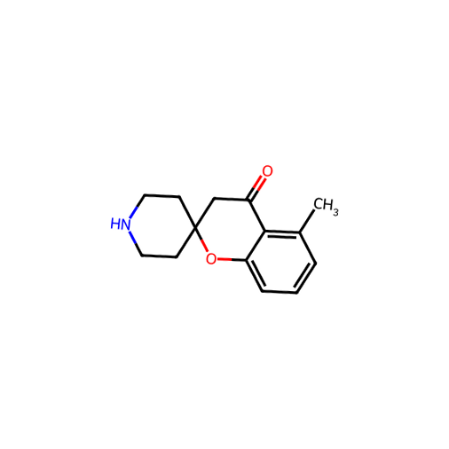 Cc1cccc2c1C(=O)CC1(CCNCC1)O2